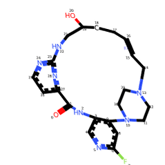 O=C1Nc2cnc(F)cc2N2CCN(C/C=C/CCC(O)CNc3nccc1n3)CC2